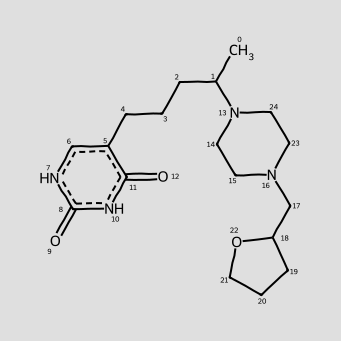 CC(CCCc1c[nH]c(=O)[nH]c1=O)N1CCN(CC2CCCO2)CC1